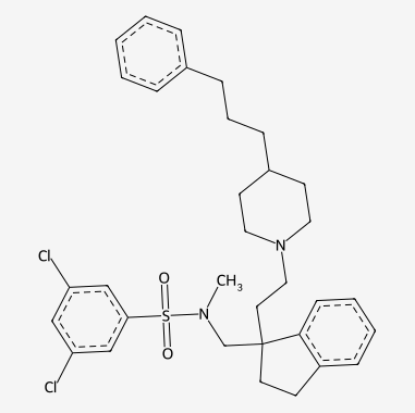 CN(CC1(CCN2CCC(CCCc3ccccc3)CC2)CCc2ccccc21)S(=O)(=O)c1cc(Cl)cc(Cl)c1